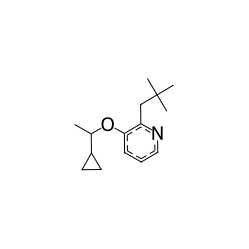 CC(Oc1cccnc1CC(C)(C)C)C1CC1